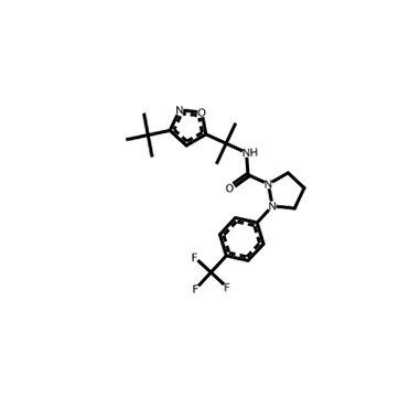 CC(C)(C)c1cc(C(C)(C)NC(=O)N2CCCN2c2ccc(C(F)(F)F)cc2)on1